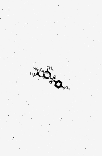 C[C@H]1CN(S(=O)(=O)c2ccc([N+](=O)[O-])cc2)C[C@H](CC(N)=O)N1C(=O)O